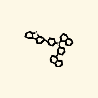 c1cc(-c2cccc3ccccc23)cc(N(c2ccc(-c3ccc4c(c3)sc3ccccc34)cc2)c2cccc3ccccc23)c1